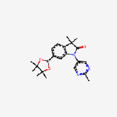 Cc1ncc(N2C(=O)C(C)(C)c3ccc(B4OC(C)(C)C(C)(C)O4)cc32)cn1